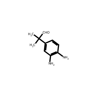 CC(C)(C=O)c1ccc(N)c(N)c1